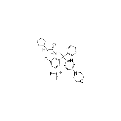 O=C(NCC(c1ccccc1)(c1cc(F)cc(C(F)(F)F)c1)c1ccc(N2CCOCC2)cn1)NC1CCCC1